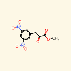 COC(=O)C(=O)Cc1cc([N+](=O)[O-])cc([N+](=O)[O-])c1